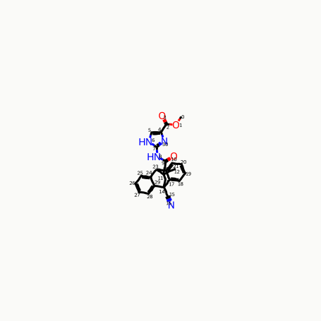 COC(=O)c1c[nH]c(NC(=O)C2(C)CC3(C#N)c4ccccc4C2c2ccccc23)n1